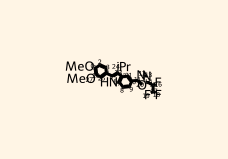 COc1ccc(-c2[nH]c3ccc(-c4nnc(C(F)C(F)F)o4)cc3c2C(C)C)cc1OC